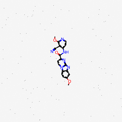 COc1ccc2c(c1)nc1nc(C(=O)Nc3ccnc(OC)c3C#N)ccn12